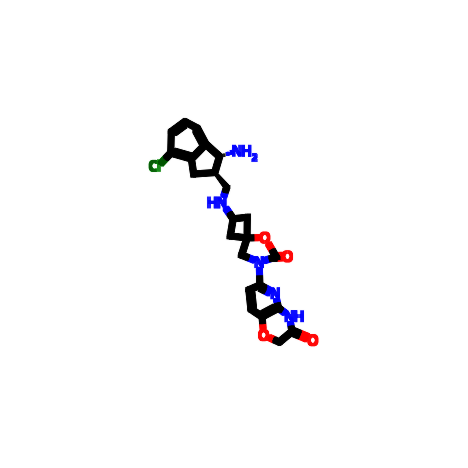 N[C@H]1c2cccc(Cl)c2C[C@@H]1CNC1CC2(C1)CN(c1ccc3c(n1)NC(=O)CO3)C(=O)O2